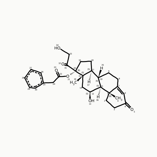 C[C@]12CCC(=O)C=C1CC[C@@H]1[C@@H]2[C@@H](O)C[C@@]2(C)[C@H]1CC[C@]2(OC(=O)Cc1ccccc1)C(=O)CO